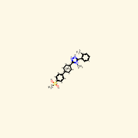 Cn1c(-c2ccccc2C(F)(F)F)nnc1C12CCC(c3ccc(S(C)(=O)=O)cc3)(CC1)CC2